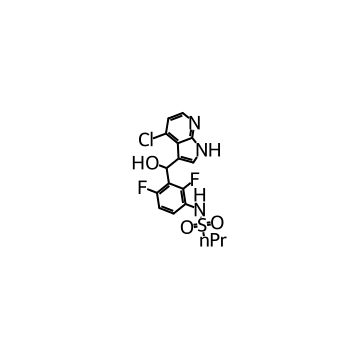 CCCS(=O)(=O)Nc1ccc(F)c(C(O)c2c[nH]c3nccc(Cl)c23)c1F